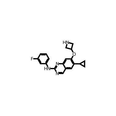 Fc1cccc(Nc2ncc3cc(C4CC4)c(OC4CNC4)cc3n2)c1